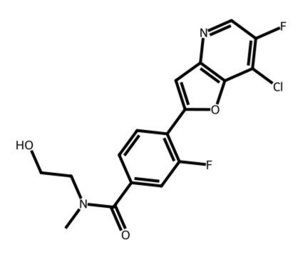 CN(CCO)C(=O)c1ccc(-c2cc3ncc(F)c(Cl)c3o2)c(F)c1